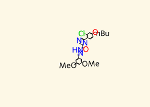 CCCCOc1ccc(-c2cncc(C(=O)NN=Cc3cc(OC)cc(OC)c3)n2)c(Cl)c1